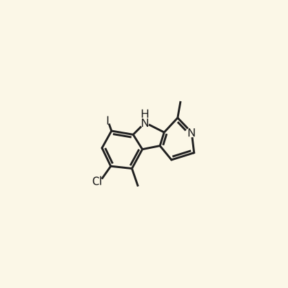 Cc1nccc2c1[nH]c1c(I)cc(Cl)c(C)c12